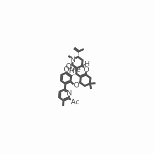 C=C(C)[C@@H]1C[C@@H]2OC3=C(C(=O)CC(C)(C)C3)[C@H](c3c(OC)ccc(-c4ccc(C)c(C(C)=O)n4)c3C)[C@H]2C(=O)N1C